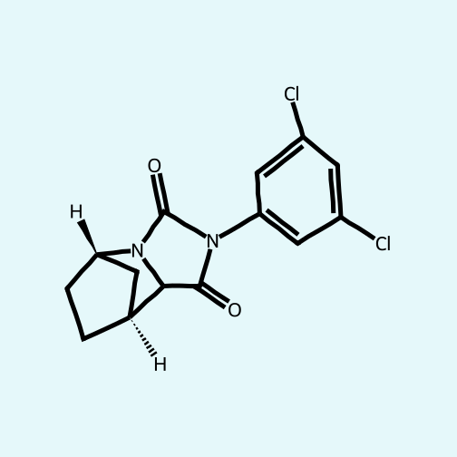 O=C1C2[C@H]3CC[C@@H](C3)N2C(=O)N1c1cc(Cl)cc(Cl)c1